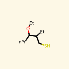 CCCC(OCC)C(CC)CS